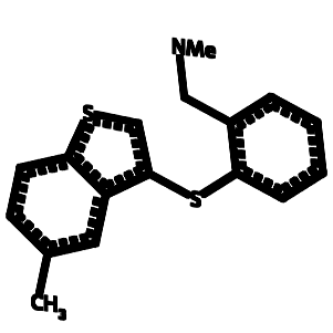 CNCc1ccccc1Sc1csc2ccc(C)cc12